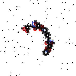 COc1ccc(CCNC(=O)c2cc(S(=O)(=O)N3CCCC(c4ccc(CCNC(=O)c5cc(S(=O)(=O)N6CCCCCC6)ccc5OC)cc4)CC3)ccc2OC)cc1OC